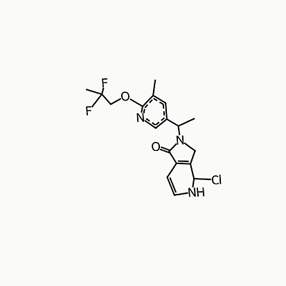 Cc1cc(C(C)N2CC3=C(C=CNC3Cl)C2=O)cnc1OCC(C)(F)F